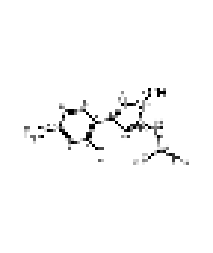 Cn1nc(-c2ccc(C(F)(F)F)cc2F)cc1OC(F)F